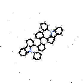 c1ccc(-n2c3ccccc3c3cccc(-c4ccccc4-c4ccccc4-c4cccc5c6ccccc6n(-c6ccccc6)c45)c32)cc1